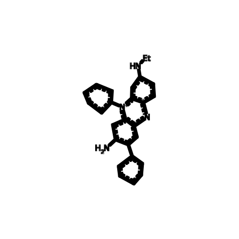 CCNc1ccc2nc3cc(-c4ccccc4)c(N)cc3[n+](-c3ccccc3)c2c1